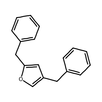 c1ccc(Cc2coc(Cc3ccccc3)c2)cc1